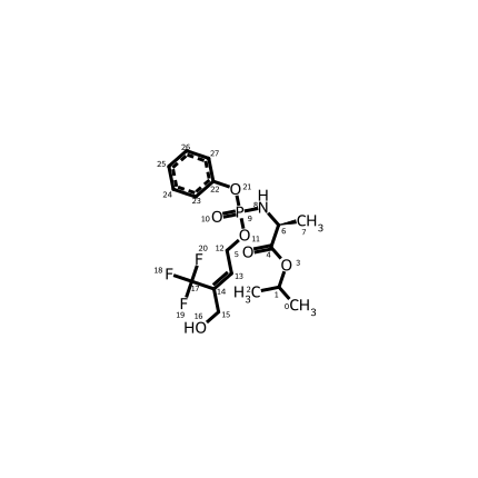 CC(C)OC(=O)[C@H](C)NP(=O)(OC/C=C(/CO)C(F)(F)F)Oc1ccccc1